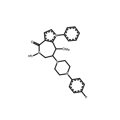 CCCN1CC(N2CCN(c3ccc(F)cc3)CC2)C(OC)c2c(ccn2-c2ccccc2)C1=O